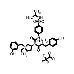 CC[N+]1(Cc2cccc(O)c2)CC[C@H](N(C(=O)Nc2ccc(S(=O)(=O)NC(C)C)cc2)C(=O)[C@@H](N)Cc2ccc(O)cc2)C1.O=C([O-])C(F)(F)F